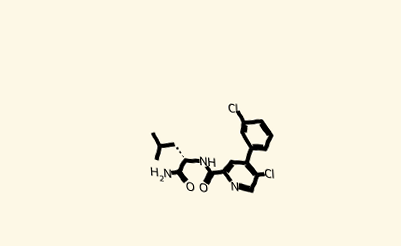 CC(C)C[C@H](NC(=O)c1cc(-c2cccc(Cl)c2)c(Cl)cn1)C(N)=O